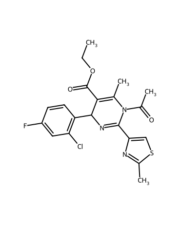 CCOC(=O)C1=C(C)N(C(C)=O)C(c2csc(C)n2)=NC1c1ccc(F)cc1Cl